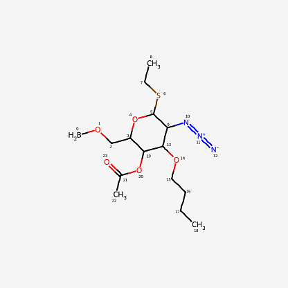 BOCC1OC(SCC)C(N=[N+]=[N-])C(OCCCC)C1OC(C)=O